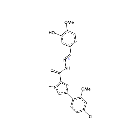 COc1ccc(/C=N/NC(=O)c2cc(-c3ccc(Cl)cc3OC)cn2C)cc1O